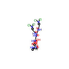 COc1cc([C@@H]2c3[nH]c4ccccc4c3C[C@H]3COC(=O)N32)cc(OC)c1OC(=O)N[C@@H](CCCCNC(=O)[C@H](CCCCNC(=O)CCCc1ccc(N(CCCl)CCCl)cc1)NC(=O)CCCc1ccc(N(CCCl)CCCl)cc1)C(=O)O